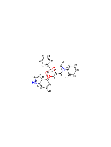 CCN(CC(COc1cc(C)cc2[nH]ccc12)OC(=O)c1ccccc1)c1ccccc1C